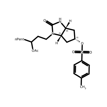 CCCCCC(CCN1C(=O)N[C@@H]2C[C@H](OS(=O)(=O)c3ccc(C)cc3)C[C@@H]21)OC(C)=O